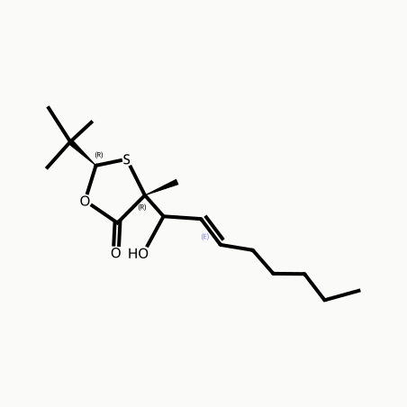 CCCCC/C=C/C(O)[C@@]1(C)S[C@H](C(C)(C)C)OC1=O